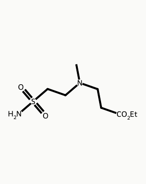 CCOC(=O)CCN(C)CCS(N)(=O)=O